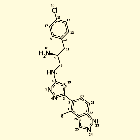 Cc1c(-c2nnc(NC[C@@H](N)Cc3ccc(Cl)cc3)s2)ccc2[nH]ncc12